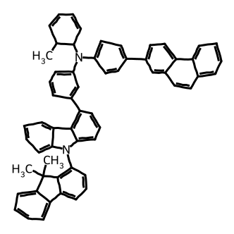 CC1C=CC=CC1N(c1ccc(-c2ccc3c(ccc4ccccc43)c2)cc1)c1cccc(-c2cccc3c2c2ccccc2n3-c2cccc3c2C(C)(C)c2ccccc2-3)c1